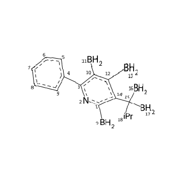 Bc1nc(-c2ccccc2)c(B)c(B)c1C(B)(B)C(C)C